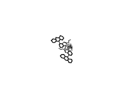 CCCC1=Cc2c(-c3c4ccccc4cc4ccccc34)cccc2[CH]1[Zr]([Cl])([Cl])([CH]1C(CCC)=Cc2c(-c3c4ccccc4cc4ccccc34)cccc21)=[Si](C)C